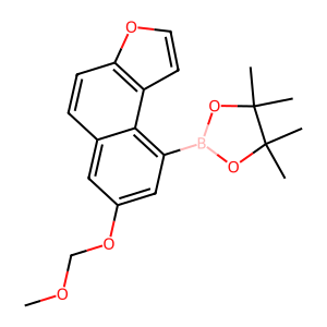 COCOc1cc(B2OC(C)(C)C(C)(C)O2)c2c(ccc3occc32)c1